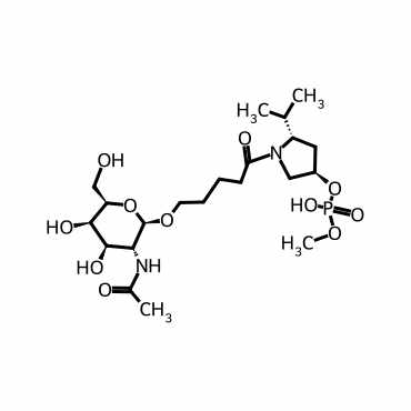 COP(=O)(O)O[C@@H]1C[C@@H](C(C)C)N(C(=O)CCCCO[C@@H]2O[C@H](CO)[C@H](O)[C@H](O)[C@H]2NC(C)=O)C1